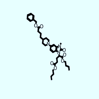 CCCCOC(=O)CCC(C(=O)OCCCC)n1c(=O)n(C)c2cc(N3CCC(CCCC(=O)OCc4ccccc4)CC3)ccc21